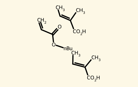 C=CC(=O)OCCCC.CC=C(C)C(=O)O.CC=C(C)C(=O)O